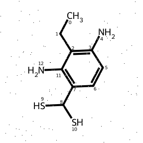 CCc1c(N)ccc(C(S)S)c1N